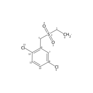 [CH2]CS(=O)(=O)Cc1cc(Cl)ccc1Cl